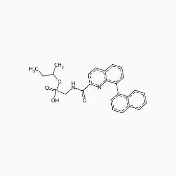 CCC(C)OP(=O)(O)CNC(=O)c1ccc2cccc(-c3cccc4ccccc34)c2n1